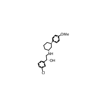 COc1ccc([C@@H]2CCC[C@@H](NC[C@H](O)c3cccc(Cl)c3)C2)cc1